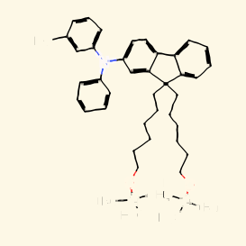 Cc1cccc(N(c2ccccc2)c2ccc3c(c2)C(CCCCCCO[Si](C)(C)C(C)(C)C)(CCCCCCO[Si](C)(C)C(C)(C)C)c2ccccc2-3)c1